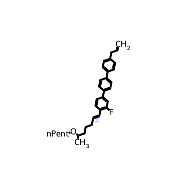 C=CCc1ccc(-c2ccc(-c3ccc(/C=C/CCCC(C)OCCCCC)c(F)c3)cc2)cc1